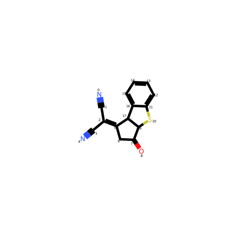 N#CC(C#N)=C1CC(=O)C2Sc3ccccc3C12